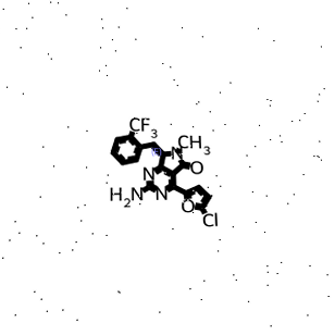 CN1C(=O)c2c(nc(N)nc2-c2ccc(Cl)o2)/C1=C\c1ccccc1C(F)(F)F